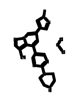 ClOCl.Cn1cc(-c2cc(-c3cnc(N4CCNCC4)nc3)c3c(C#N)cnn3c2)cn1